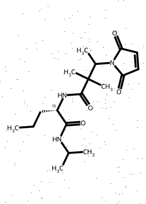 CCC[C@H](NC(=O)C(C)(C)C(C)N1C(=O)C=CC1=O)C(=O)NC(C)C